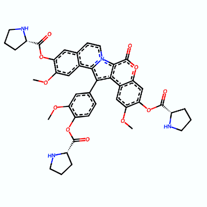 COc1cc(-c2c3c4cc(OC)c(OC(=O)[C@@H]5CCCN5)cc4oc(=O)c3n3ccc4cc(OC(=O)[C@@H]5CCCN5)c(OC)cc4c23)ccc1OC(=O)[C@@H]1CCCN1